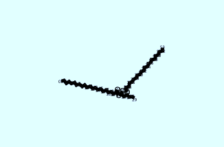 CCCCCCCCCCCCCCCCCCCCCC(=O)OC(CCCCC)OC(=O)CCCCCCCCCCCCCCCCCCCCC